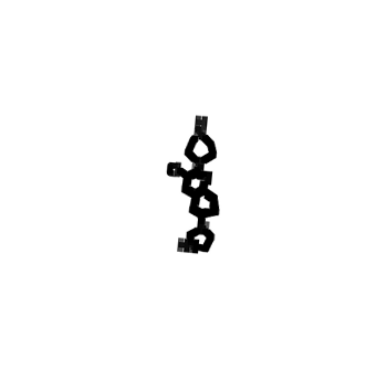 Clc1cc2cc(N3CCNC3)ccc2nc1N1CCNCC1